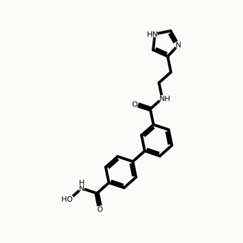 O=C(NO)c1ccc(-c2cccc(C(=O)NCCc3c[nH]cn3)c2)cc1